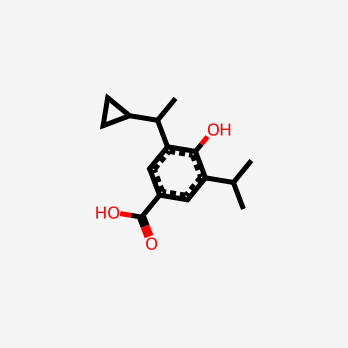 CC(C)c1cc(C(=O)O)cc(C(C)C2CC2)c1O